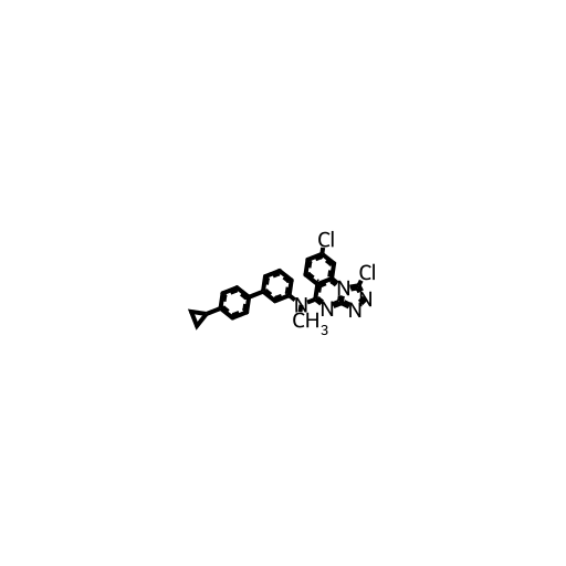 CN(c1cccc(-c2ccc(C3CC3)cc2)c1)c1nc2nnc(Cl)n2c2cc(Cl)ccc12